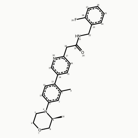 Cc1cc(N2CCOC[C@@H]2C)ccc1-c1ccc(CC(=O)NCc2ccccc2F)nc1